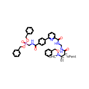 CCCCC[C@@H](C(=O)NCNC(=O)c1cccc(-c2ccc(C(=O)NCP(=O)(OCc3ccccc3)OCc3ccccc3)cc2)n1)[C@@H](CC)N(C=O)OCc1ccccc1